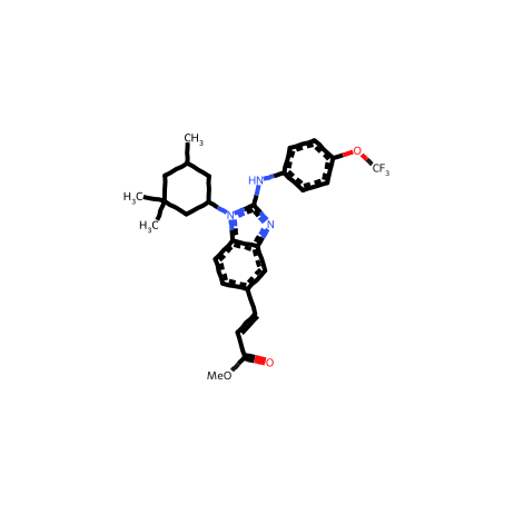 COC(=O)/C=C/c1ccc2c(c1)nc(Nc1ccc(OC(F)(F)F)cc1)n2C1CC(C)CC(C)(C)C1